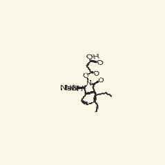 CCc1ccc2c(c1CC)C(=O)N(OC(=O)CC(=O)O)C2=O.[NaH].[NaH]